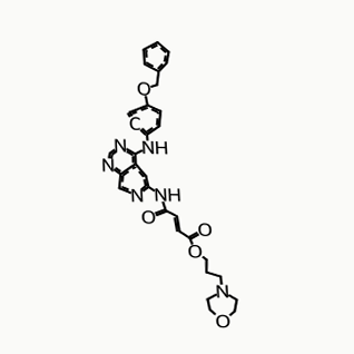 O=C(C=CC(=O)OCCCN1CCOCC1)Nc1cc2c(Nc3ccc(OCc4ccccc4)cc3)ncnc2cn1